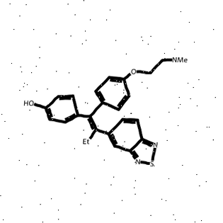 CC/C(=C(\c1ccc(O)cc1)c1ccc(OCCNC)cc1)c1ccc2nsnc2c1